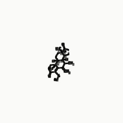 C=C1C2=C(SC(C)=O)C(=O)CC[C@]2(C)[C@@H]2CC[C@]3(C)C(=O)CC[C@H]3[C@@H]2C1C